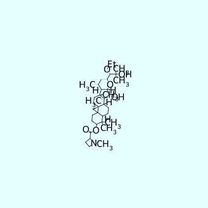 CCO[C@@H]([C@H]1C[C@@H](C)[C@H]2[C@H](O1)[C@H](O)[C@@]1(C)[C@@H]3CC[C@H]4C(C)(C)[C@@H](OC(=O)C5CCN5C)CCC45C[C@@]35CC[C@]21C)C(C)(C)O